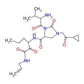 C=CCNC(=O)C(=O)C(CCC)NC(=O)C1CN(CC(=O)C2CC2)C(=O)N1C(=O)C(N)C(C)C